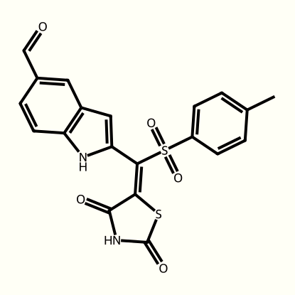 Cc1ccc(S(=O)(=O)C(=C2SC(=O)NC2=O)c2cc3cc(C=O)ccc3[nH]2)cc1